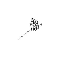 CCCCCCCCC=CCCCCCCC(C(=O)O)C1(O)CNc2ccc(Br)c(Cl)c21